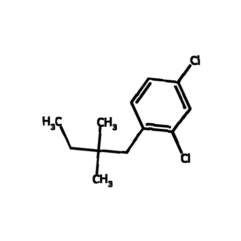 CCC(C)(C)Cc1ccc(Cl)cc1Cl